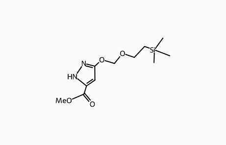 COC(=O)c1cc(OCOCC[Si](C)(C)C)n[nH]1